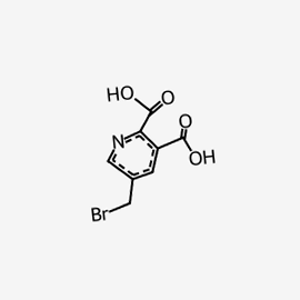 O=C(O)c1cc(CBr)cnc1C(=O)O